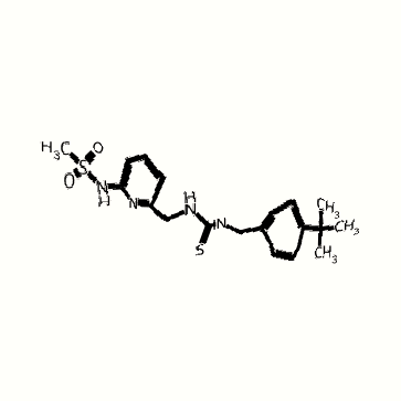 CC(C)(C)c1ccc(CNC(=S)NCc2cccc(NS(C)(=O)=O)n2)cc1